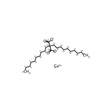 CCCCCCCCCCC(CCCCCCCCCC)(C(=O)[O-])C(=O)[O-].[Ca+2]